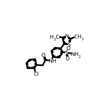 Cc1nc(C)c(-c2ccc(NC(=O)Cc3ccccc3Cl)cc2S(N)(=O)=O)s1